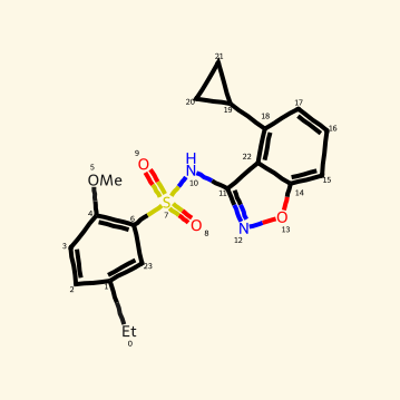 CCc1ccc(OC)c(S(=O)(=O)Nc2noc3cccc(C4CC4)c23)c1